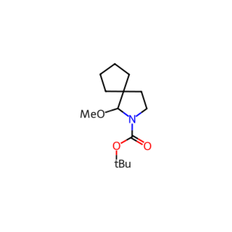 COC1N(C(=O)OC(C)(C)C)CCC12CCCC2